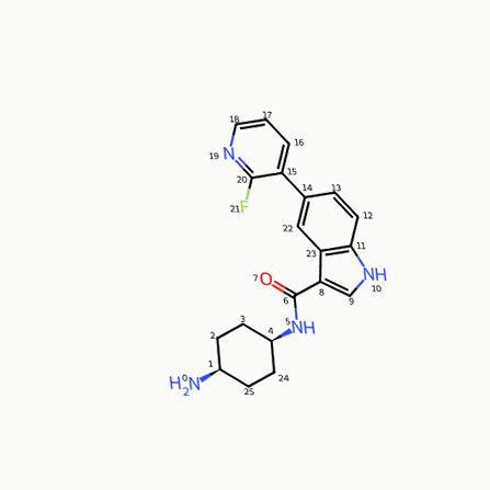 N[C@H]1CC[C@@H](NC(=O)c2c[nH]c3ccc(-c4cccnc4F)cc23)CC1